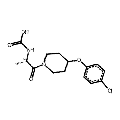 C[C@H](NC(=O)O)C(=O)N1CCC(Oc2ccc(Cl)cc2)CC1